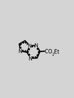 CCOC(=O)c1cnc2nccn2n1